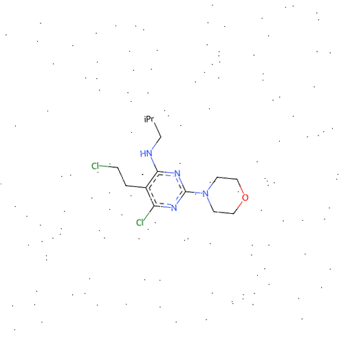 CC(C)CNc1nc(N2CCOCC2)nc(Cl)c1CCCl